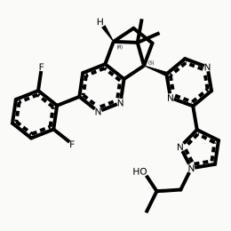 CC(O)Cn1ccc(-c2cncc([C@@]34CC[C@@H](c5cc(-c6c(F)cccc6F)nnc53)C4(C)C)n2)n1